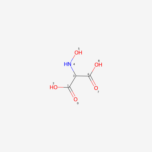 O=C(O)C(NO)C(=O)O